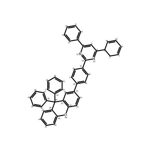 C1=CCC(c2cc(-c3ccccc3)nc(-c3ccc(-c4ccc5c(c4)C(c4ccccc4)(c4ccccc4)c4ccccc4O5)cc3)n2)C=C1